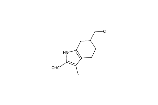 Cc1c(C=O)[nH]c2c1CCC(CCl)C2